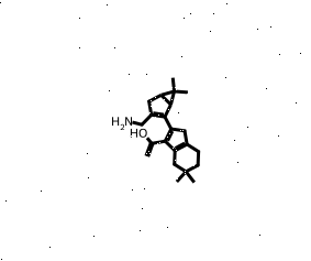 C=C(O)C1=C(C2=C(CN)CC3C2C3(C)C)CC2=C1CC(C)(C)CC2